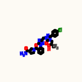 NC(=O)[C@@H]1CCN(C(=O)c2ccccc2-n2cnc(Cn3nc(-c4ccc(Cl)cc4)n(C[C@H](O)C(F)(F)F)c3=O)n2)C1